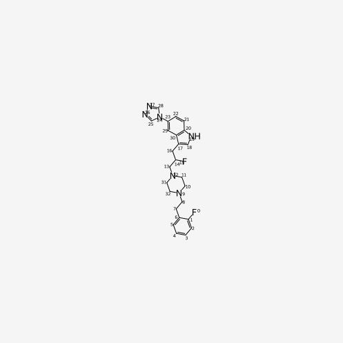 Fc1ccccc1CCN1CCN(CC(F)Cc2c[nH]c3ccc(-n4cnnc4)cc23)CC1